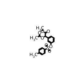 COC(=O)C(OC(C)=O)c1cccc(OS(=O)(=O)c2ccc(C)cc2)c1